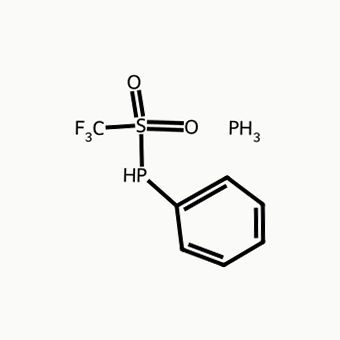 O=S(=O)(Pc1ccccc1)C(F)(F)F.P